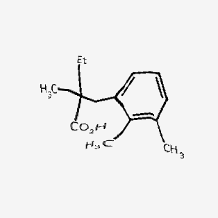 CCC(C)(C(=O)O)c1cccc(C)c1C